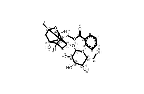 C[C@@]12C[C@@]3(O)O[C@@H](O1)[C@]1(COC(=O)c4ccccc4)[C@@H]3C[C@]12O[C@@H]1O[C@H](CO)[C@@H](O)[C@H](O)[C@H]1O